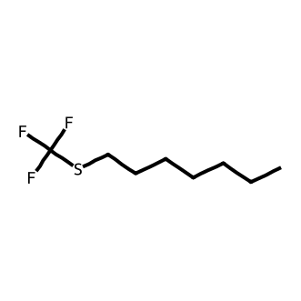 CCCCCCCSC(F)(F)F